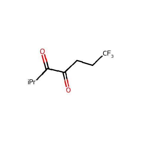 CC(C)C(=O)C(=O)CCC(F)(F)F